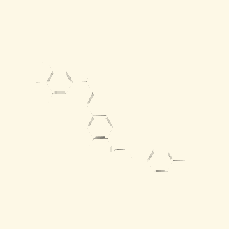 CCc1cc(/C=C/C(c2cc(C)c(F)c(Cl)c2)C(F)(F)F)ccc1NOCc1ccc(C)nc1